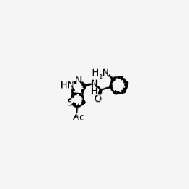 CC(=O)c1cc2c(NC(=O)c3ccccc3N)n[nH]c2s1